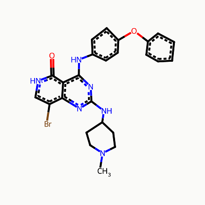 CN1CCC(Nc2nc(Nc3ccc(Oc4ccccc4)cc3)c3c(=O)[nH]cc(Br)c3n2)CC1